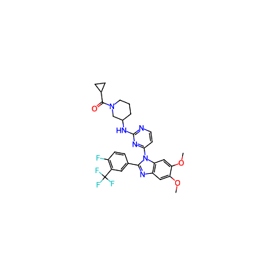 COc1cc2nc(-c3ccc(F)c(C(F)(F)F)c3)n(-c3ccnc(NC4CCCN(C(=O)C5CC5)C4)n3)c2cc1OC